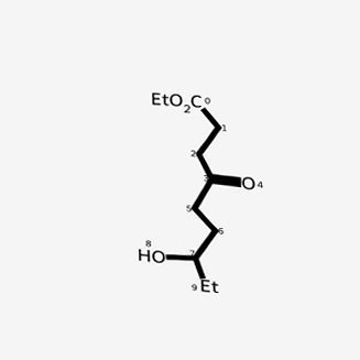 CCOC(=O)CCC(=O)CCC(O)CC